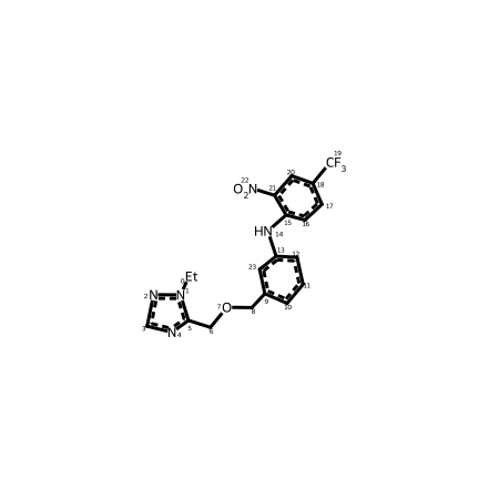 CCn1ncnc1COCc1cccc(Nc2ccc(C(F)(F)F)cc2[N+](=O)[O-])c1